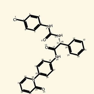 O=C(Nc1ccc(Cl)cc1)N[C@@H](C(=O)Nc1ccc(-n2ccccc2=O)cc1)c1ccccc1